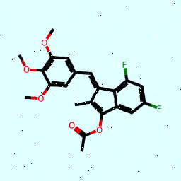 COc1cc(/C=C2\C(C)=C(OC(C)=O)c3cc(F)cc(F)c32)cc(OC)c1OC